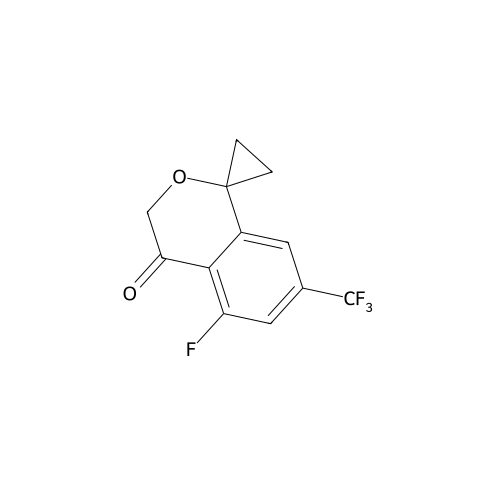 O=C1COC2(CC2)c2cc(C(F)(F)F)cc(F)c21